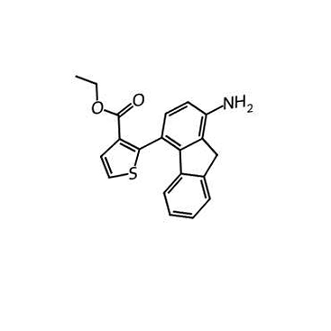 CCOC(=O)c1ccsc1-c1ccc(N)c2c1-c1ccccc1C2